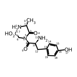 C[C@H](N)C(=O)N(CC(=O)O)C(=O)[C@@H](N)Cc1ccc(O)cc1